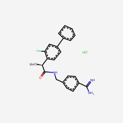 CO[C@H](C(=O)NCc1ccc(C(=N)N)cc1)c1ccc(-c2ccccc2)cc1F.Cl